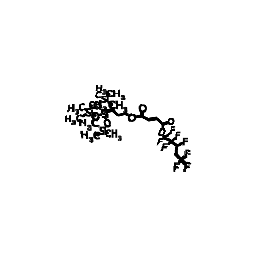 C[Si](C)(C)O[Si](CCCOC(=O)C=CC(=O)OC(F)(F)C(F)(F)C(F)CC(F)(F)F)(O[Si](C)(C)C)O[Si](C)(C)C